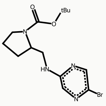 CC(C)(C)OC(=O)N1CCCC1CNc1cnc(Br)cn1